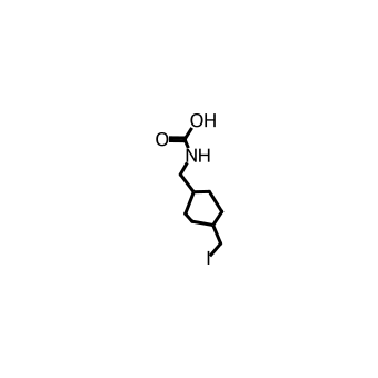 O=C(O)NCC1CCC(CI)CC1